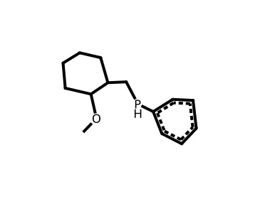 COC1CCCCC1CPc1ccccc1